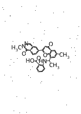 Cc1cc(C(C)Nc2ccccc2C(=O)O)c2oc(-c3ccc4c(=O)n(C)ncc4c3)cc(=O)c2c1